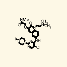 CNC(=O)COc1cc2cc(Nc3nc(N4CCN(I)CC4)ncc3Cl)ccc2n(CCN(C)C)c1=O